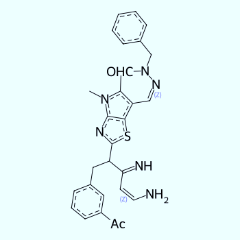 CC(=O)c1cccc(CC(C(=N)/C=C\N)c2nc3c(s2)c(/C=N\N(C=O)Cc2ccccc2)c(C)n3C)c1